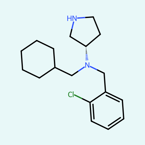 Clc1ccccc1CN(CC1CCCCC1)[C@H]1CCNC1